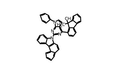 CC1(C)c2ccccc2-c2cccc(-c3nc(-n4c5ccccc5c5c6ccccc6ccc54)nc4c3ccn4-c3ccccc3)c21